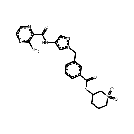 Nc1nccnc1C(=O)Nc1cnn(Cc2cccc(C(=O)NC3CCCS(=O)(=O)C3)c2)c1